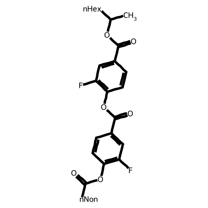 CCCCCCCCCC(=O)Oc1ccc(C(=O)Oc2ccc(C(=O)OC(C)CCCCCC)cc2F)cc1F